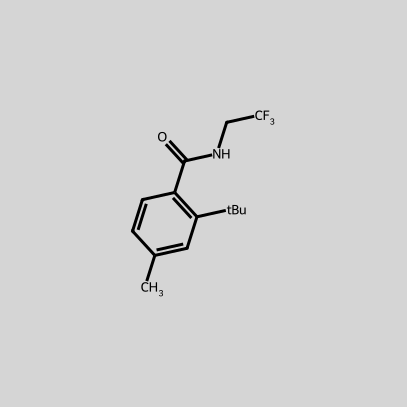 Cc1ccc(C(=O)NCC(F)(F)F)c(C(C)(C)C)c1